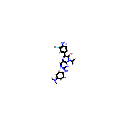 CC(C)n1c(=O)c(-c2ccc(N)c(F)c2)nc2cnc(NC3CCC(N(C)C)CC3)nc21